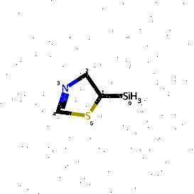 [SiH3]C1CN=CS1